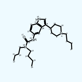 CCCCN1CCC(c2c[nH]c3ccc(NC(=O)N(CCCC)CCCC)cc23)CC1